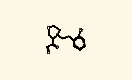 O=CC(=O)C1COCCN1CCc1ccccc1Br